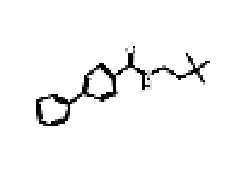 CC(C)(C)CCNC(=O)c1ccc(-c2ccccc2)cc1